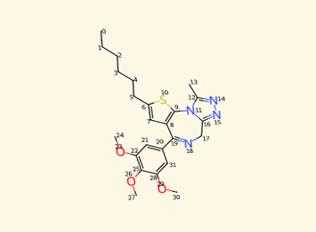 CCCCCCc1cc2c(s1)-n1c(C)nnc1CN=C2c1cc(OC)c(OC)c(OC)c1